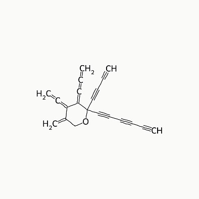 C#CC#CC#CC1(C#CC#C)OCC(=C)C(=C=C)C1=C=C=C